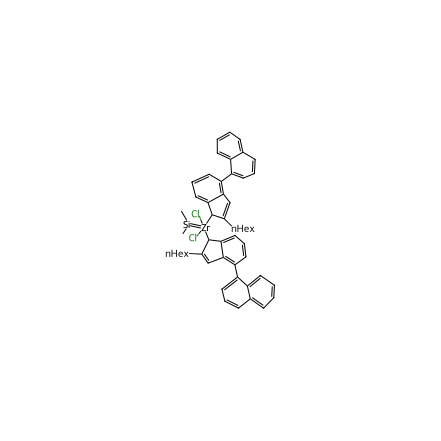 CCCCCCC1=Cc2c(-c3cccc4ccccc34)cccc2[CH]1[Zr]([Cl])([Cl])([CH]1C(CCCCCC)=Cc2c(-c3cccc4ccccc34)cccc21)=[Si](C)C